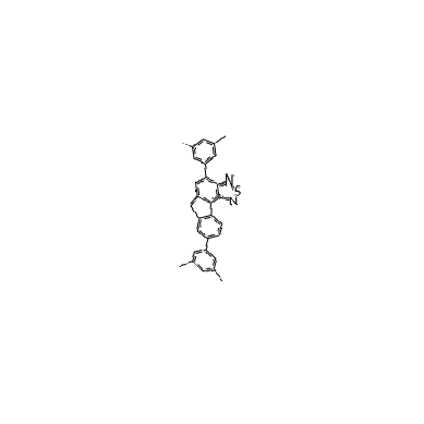 Cc1cc(C)cc(-c2ccc3c(c2)Cc2cc(-c4cc(C)cc(C)c4)c4nsnc4c2-3)c1